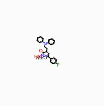 CO[C@H](C[C@H](CCN(c1ccccc1)c1ccccc1)C(=O)NO)c1ccc(F)cc1